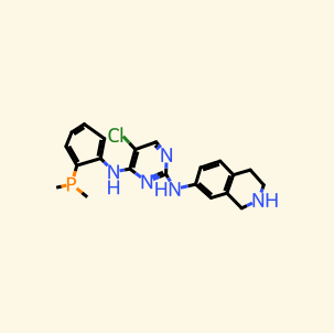 CP(C)c1ccccc1Nc1nc(Nc2ccc3c(c2)CNCC3)ncc1Cl